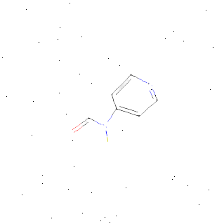 O=CN(S)c1ccncc1